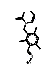 C=C(C)N(/C=C\C)Cc1c(C)cc(C)c(/C=N/O)c1C